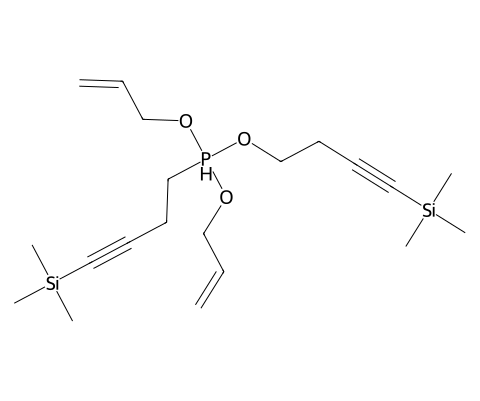 C=CCO[PH](CCC#C[Si](C)(C)C)(OCC=C)OCCC#C[Si](C)(C)C